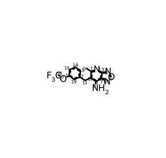 Cc1nc2nonc2c(N)c1Cc1cccc(OC(F)(F)F)c1